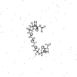 CC(C)CC(=O)NC(C)(C)CC(C)(C)COCCOCCOCC(C)(C)CC(C)(C)NC(=O)CC(C)C